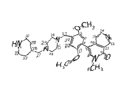 COc1cc(-c2cn(C)c(=O)c3cnccc23)c(OC)cc1CN1CCN(CC2CCNCC2)CC1